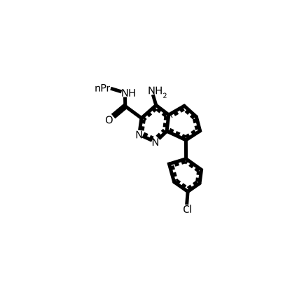 CCCNC(=O)c1nnc2c(-c3ccc(Cl)cc3)cccc2c1N